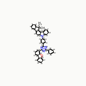 CC1(C)c2ccccc2-c2ccc3c(c21)c1ccccc1n3-c1ccc(C2=NC(c3cccc4c3oc3ccccc34)NC(c3ccccc3)=N2)cc1